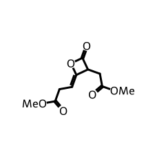 COC(=O)C/C=C1\OC(=O)C1CC(=O)OC